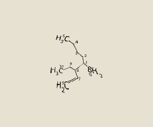 BC(CCCC)C(C=C)CC